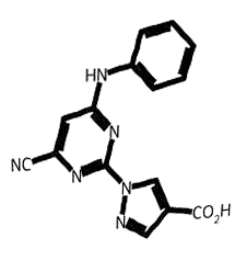 N#Cc1cc(Nc2ccccc2)nc(-n2cc(C(=O)O)cn2)n1